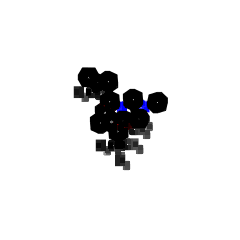 CC(C)(C)c1cc(-c2cccc3cccc(-c4ccccc4N(c4cccc(-c5cccc6c5C(C)(C)c5ccccc5-6)c4)c4cccc5c4c4ccccc4n5-c4ccccc4)c23)cc(C(C)(C)C)c1